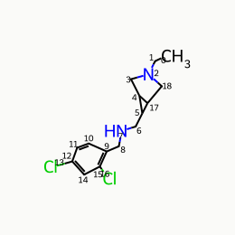 CCN1CC2C(CNCc3ccc(Cl)cc3Cl)C2C1